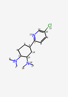 CN(C)C1[CH]CC(c2ccc(Cl)cn2)CC1N(C)C